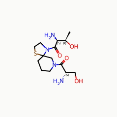 C[C@@H](O)[C@H](N)C(=O)N1CCSC12CCCN(C(=O)[C@@H](N)CO)C2